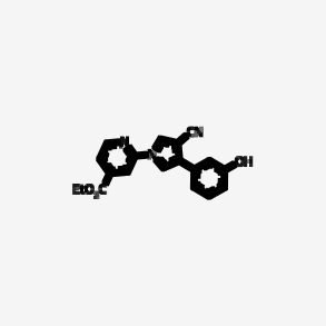 CCOC(=O)c1ccnc(-n2cc(C#N)c(-c3cccc(O)c3)c2)c1